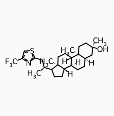 C[C@@H](Cc1nc(C(F)(F)F)cs1)C1CC[C@H]2[C@@H]3CC[C@@H]4C[C@](C)(O)CC[C@]4(C)[C@H]3CC[C@]12C